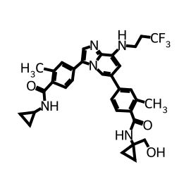 Cc1cc(-c2cnc3c(NCCC(F)(F)F)cc(-c4ccc(C(=O)NC5(CO)CC5)c(C)c4)cn23)ccc1C(=O)NC1CC1